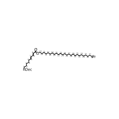 CCCCCCCCCCCCCCCC=CC=CC(=O)OCCCCCCCCCCCCCCCCCCCCCCCCCC(C)C